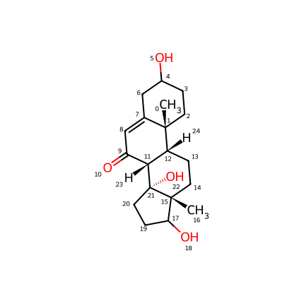 C[C@]12CCC(O)CC1=CC(=O)[C@@H]1[C@H]2CC[C@]2(C)C(O)CC[C@@]12O